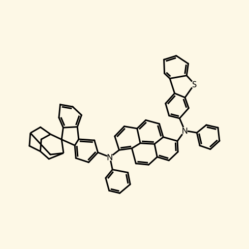 c1ccc(N(c2ccc3c(c2)-c2ccccc2C32C3CC4CC(C3)CC2C4)c2ccc3ccc4c(N(c5ccccc5)c5ccc6c(c5)sc5ccccc56)ccc5ccc2c3c54)cc1